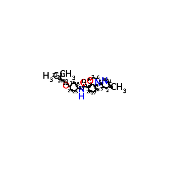 Cc1ccc(N2CCOc3c(C(=O)N[C@H]4CC[C@H](OCCC(C)C)CC4)cccc32)nc1